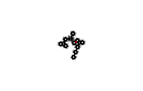 c1ccc(-c2ccc(-c3ccc(-n4c5ccccc5c5ccccc54)c(-c4ccc(-c5nc(-c6ccccc6)nc(-c6cccc(-n7c8ccccc8c8ccccc87)c6)n5)cc4)c3)cc2)cc1